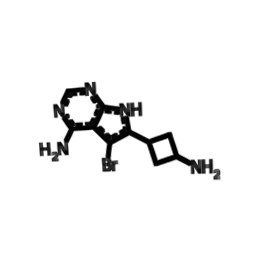 Nc1ncnc2[nH]c(C3CC(N)C3)c(Br)c12